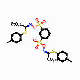 CCOC(=O)C(=NOS(=O)(=O)c1cccc(S(=O)(=O)ON=C(Sc2ccc(C)cc2)C(=O)OCC)c1)Sc1ccc(C)cc1